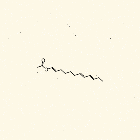 CC/C=C/C=C/CCCC/C=C/OC(C)=O